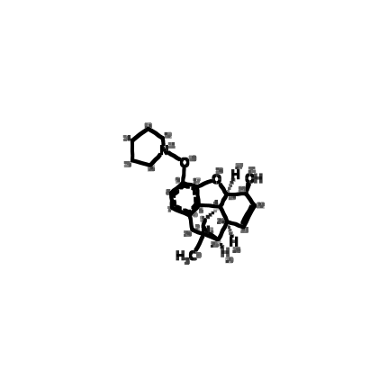 CN1CC[C@]23c4c5ccc(ON6CCCCC6)c4O[C@H]2[C@@H](O)C=C[C@H]3[C@H]1C5